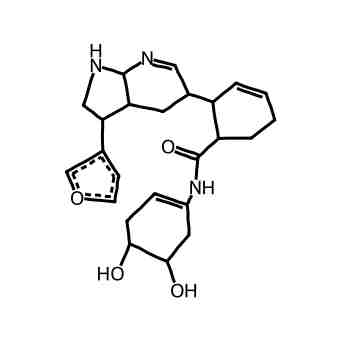 O=C(NC1=CCC(O)C(O)C1)C1CCC=CC1C1C=NC2NCC(c3ccoc3)C2C1